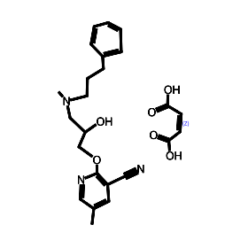 Cc1cnc(OCC(O)CN(C)CCCc2ccccc2)c(C#N)c1.O=C(O)/C=C\C(=O)O